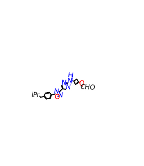 CC(C)Cc1ccc(-c2nc(-c3cnc(NC4CC(OC=O)C4)nc3)no2)cc1